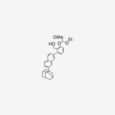 CCOC(OC)Oc1cccc(-c2ccc3ccc(C45CC6CC(CC(C6)C4)C5)cc3c2)c1CO